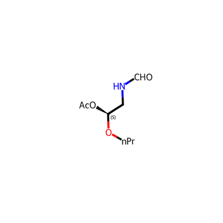 CCCO[C@H](CNC=O)OC(C)=O